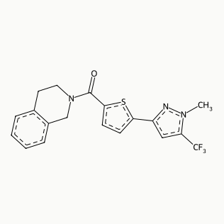 Cn1nc(-c2ccc(C(=O)N3CCc4ccccc4C3)s2)cc1C(F)(F)F